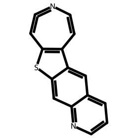 C1=Cc2sc3cc4ncccc4cc3c2C=CN=1